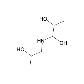 CC(O)CNC(O)C(C)O